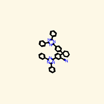 N#Cc1cc(-c2nc(-c3ccccc3)nc(-c3ccccc3)n2)ccc1C1(c2ccc(-c3nc(-c4ccccc4)nc(-c4ccccc4)n3)cc2)CCCCC1